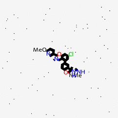 CNC(=O)C(C)(NC=N)c1cccc(-c2cc(Cl)ccc2CN(C)C(=O)c2ccc(OC)nc2)c1